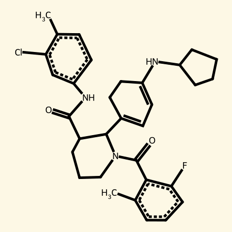 Cc1ccc(NC(=O)C2CCCN(C(=O)c3c(C)cccc3F)C2C2=CC=C(NC3CCCC3)CC2)cc1Cl